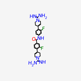 N=C(N)N1CC=C(c2ccc(NC(=O)c3ccc(C4=CCN(C(=N)N)CC4)c(F)c3)cc2F)CC1